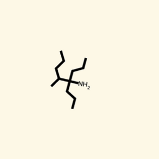 CCCC(C)C(N)(CCC)CCC